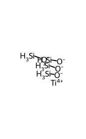 [O-][SiH3].[O-][SiH3].[O-][SiH3].[O-][SiH3].[Ti+4]